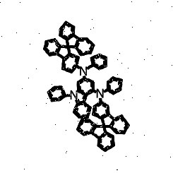 c1ccc(N(c2ccc3c(c2)C2(c4ccccc4-c4ccccc42)c2ccccc2-3)c2cc(N(c3ccccc3)c3ccc4c(c3)-c3ccccc3C43c4ccccc4-c4ccccc43)c3c4ccccc4n(-c4ccccc4)c3c2)cc1